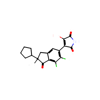 CCCCC1(C2CCCC2)Cc2cc(C3=C(O)C(=O)NC3=O)c(Cl)c(Cl)c2C1=O